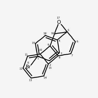 Brc1ccc(C23C=CC4=C(c5ccccc54)C2O3)cc1